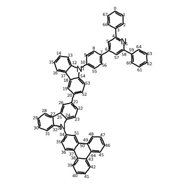 c1ccc(-c2cc(-c3ccc(-n4c5ccccc5c5cc(-c6ccc7c(c6)c6ccccc6n7-c6ccc7c8ccccc8c8ccccc8c7c6)ccc54)cc3)cc(-c3ccccc3)n2)cc1